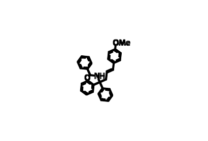 COc1ccc(/C=C/CC(NC(=O)c2ccccc2)(c2ccccc2)c2ccccc2)cc1